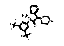 CN1CCN(C(C(=O)N(N)c2cc(C(F)(F)F)cc(C(F)(F)F)c2)c2cncnc2)CC1